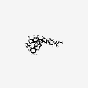 CC(O)N1CCN(c2ncc(-c3ccc4c(=O)n5n(c4c3)[C@@H](c3ccccc3OC(F)F)CC5)cn2)CC1